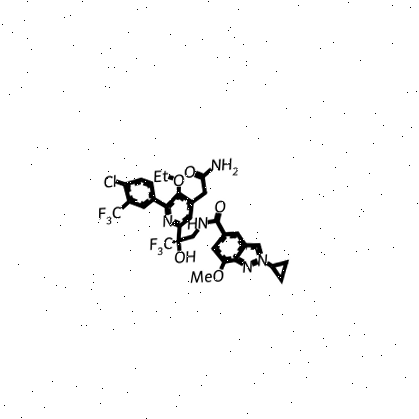 CCOc1c(CC(N)=O)cc([C@@](O)(CNC(=O)c2cc(OC)c3nn(C4CC4)cc3c2)C(F)(F)F)nc1-c1ccc(Cl)c(C(F)(F)F)c1